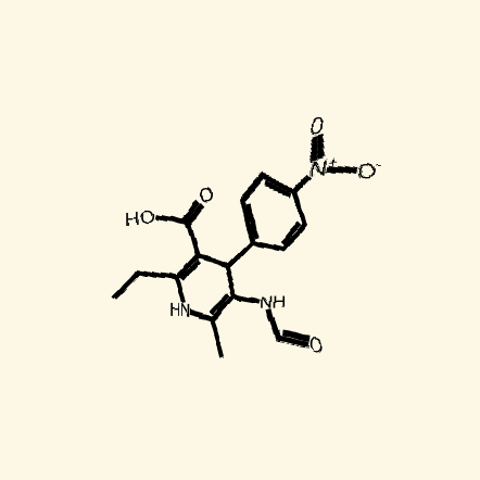 CCC1=C(C(=O)O)C(c2ccc([N+](=O)[O-])cc2)C(NC=O)=C(C)N1